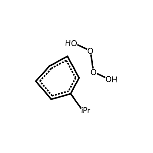 CC(C)c1ccccc1.OOOO